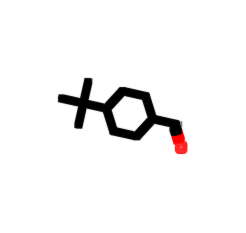 CC(C)(C)C1CCC([C]=O)CC1